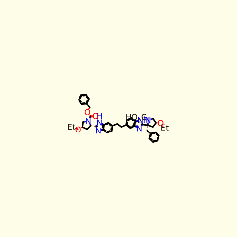 CCO[C@@H]1C[C@@H](c2nc3ccc(CCc4ccc5[nH]c([C@]6(Cc7ccccc7)C[C@@H](OCC)CN6C(=O)O)nc5c4)cc3[nH]2)N(C(=O)OCc2ccccc2)C1